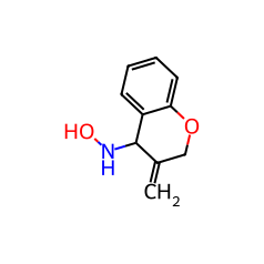 C=C1COc2ccccc2C1NO